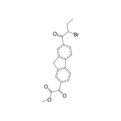 CCC(Br)C(=O)c1ccc2c(c1)Cc1cc(C(=O)C(=O)OC)ccc1-2